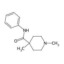 CN1CCC(C)(C(=O)Nc2ccccc2)CC1